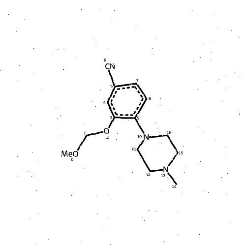 COCOc1cc(C#N)ccc1N1CCN(C)CC1